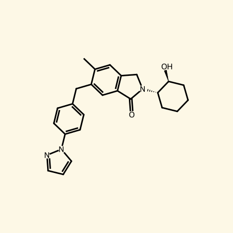 Cc1cc2c(cc1Cc1ccc(-n3cccn3)cc1)C(=O)N([C@H]1CCCC[C@@H]1O)C2